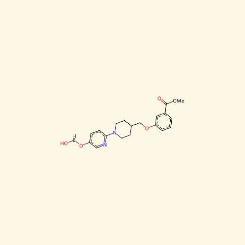 COC(=O)c1cccc(OCC2CCN(c3ccc(OBO)cn3)CC2)c1